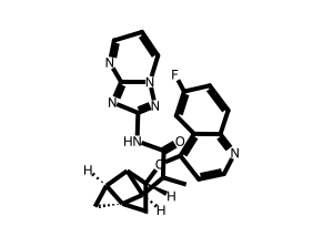 CC(C(=O)Nc1nc2ncccn2n1)[C@@H]1C2[C@H](Oc3ccnc4ccc(F)cc34)C[C@]13C[C@@H]23